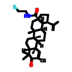 C=C(C)[C@@H]1CC[C@]2(C(=O)NCCF)CC[C@]3(C)[C@H](CC[C@@H]4[C@@]5(C)C=C(C#N)C(=O)C(C)(C)[C@@H]5CC[C@]43C)[C@@H]12